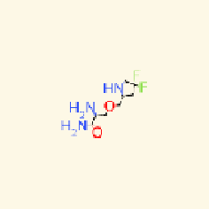 NC(=O)[C@@H](N)COC[C@@H]1CC(F)(F)CN1